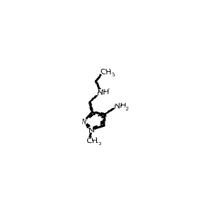 CCNCc1nn(C)cc1N